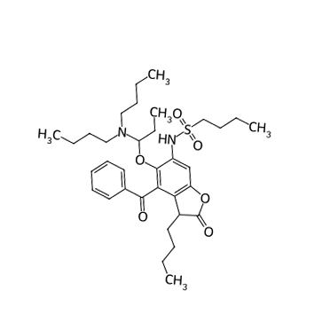 CCCCC1C(=O)Oc2cc(NS(=O)(=O)CCCC)c(OC(CC)N(CCCC)CCCC)c(C(=O)c3ccccc3)c21